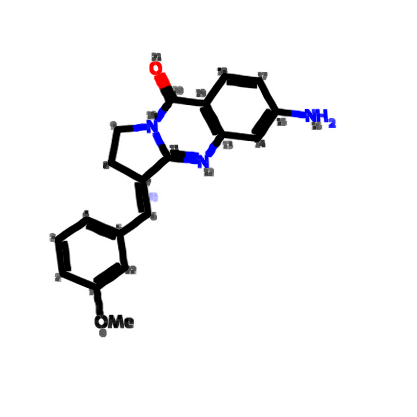 COc1cccc(/C=C2\CCn3c2nc2cc(N)ccc2c3=O)c1